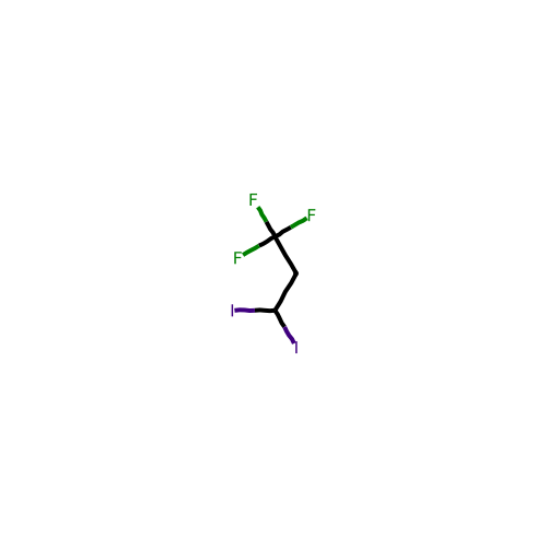 FC(F)(F)CC(I)I